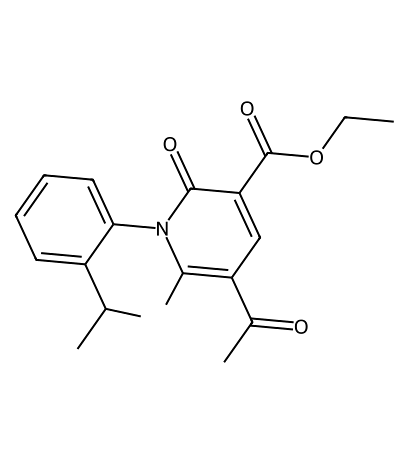 CCOC(=O)c1cc(C(C)=O)c(C)n(-c2ccccc2C(C)C)c1=O